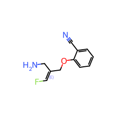 N#Cc1ccccc1OC/C(=C/F)CN